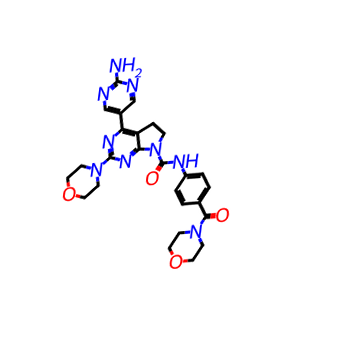 Nc1ncc(-c2nc(N3CCOCC3)nc3c2CCN3C(=O)Nc2ccc(C(=O)N3CCOCC3)cc2)cn1